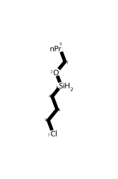 CCCCO[SiH2]CCCCl